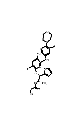 C[C@H](NC(=O)OC(C)(C)C)[C@H](Nc1nc(Nc2cnc(N3CCOCC3)c(F)c2)c(C#N)cc1F)c1cccs1